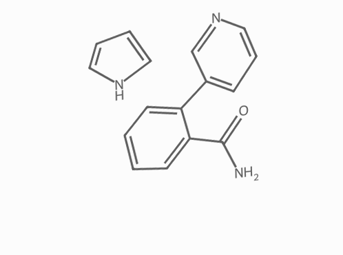 NC(=O)c1ccccc1-c1cccnc1.c1cc[nH]c1